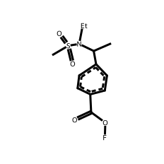 CCN(C(C)c1ccc(C(=O)OF)cc1)S(C)(=O)=O